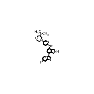 CN(C)[C@H]1COCCN(c2ccc(Nc3ccc(-c4cnc5cc(F)ccn45)c4c3CNC4)nc2)C1